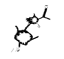 CC(=O)c1ccc(-c2c(C)cc(S)cc2C)s1